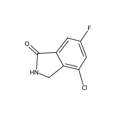 O=C1NCc2c(Cl)cc(F)cc21